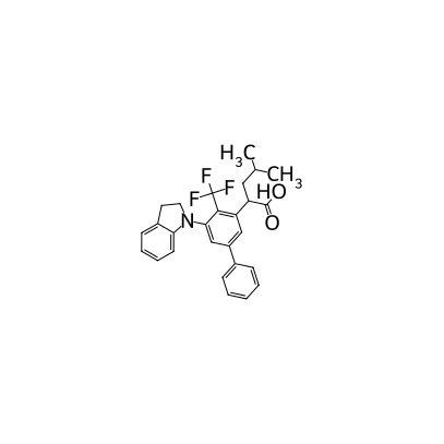 CC(C)CC(C(=O)O)c1cc(-c2ccccc2)cc(N2CCc3ccccc32)c1C(F)(F)F